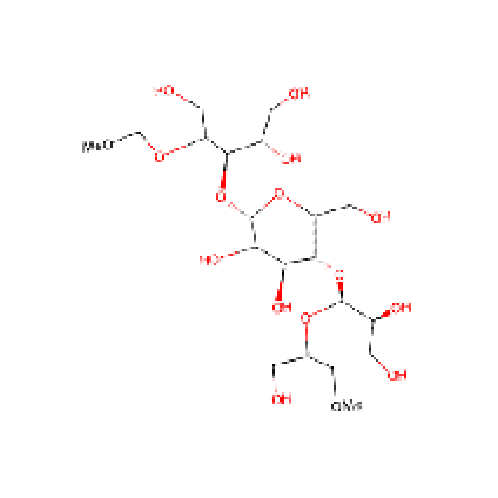 COCOC(CO)[C@H](O[C@@H]1OC(CO)[C@H](O[C@H](OC(CO)COC)[C@@H](O)CO)[C@@H](O)C1O)[C@@H](O)CO